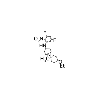 CCO[C@H]1CC[C@](C)(N2CCC(Nc3cc(F)cc(F)c3[N+](=O)[O-])CC2)CC1